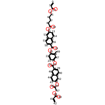 C=CC(=O)OCCCCC(=O)Oc1ccc2cc(C(=O)Oc3ccc(OC(=O)c4ccc5cc(OC(=O)COC(=O)C=C)ccc5c4)cc3C)ccc2c1